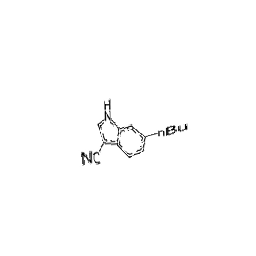 CCCCc1ccc2c(C#N)c[nH]c2c1